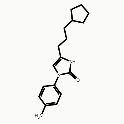 Nc1ccc(-n2cc(CCCC3CCCC3)[nH]c2=O)cc1